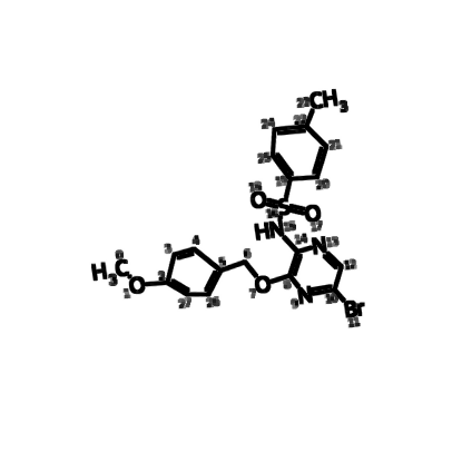 COc1ccc(COc2nc(Br)cnc2NS(=O)(=O)c2ccc(C)cc2)cc1